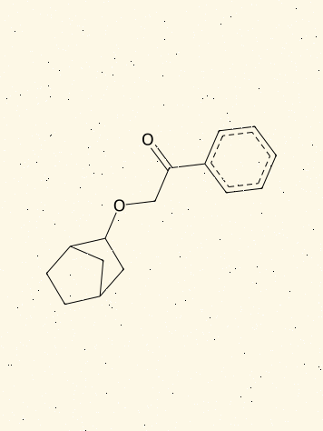 O=C(COC1CC2CCC1C2)c1ccccc1